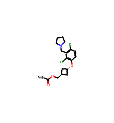 CNC(=O)OC[C@H]1C[C@H](Oc2ccc(Cl)c(CN3CCCC3)c2Cl)C1